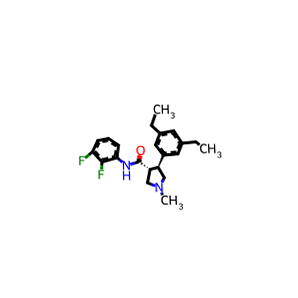 CCc1cc(CC)cc([C@H]2CN(C)C[C@@H]2C(=O)Nc2cccc(F)c2F)c1